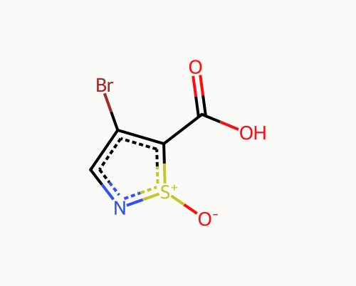 O=C(O)c1c(Br)cn[s+]1[O-]